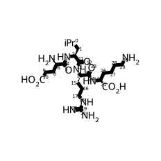 CC(C)C[C@H](NC(=O)[C@@H](N)CCC(=O)O)C(=O)N[C@@H](CCCNC(=N)N)C(=O)N[C@@H](CCCCN)C(=O)O